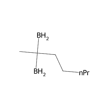 BC(B)(C)CCCCC